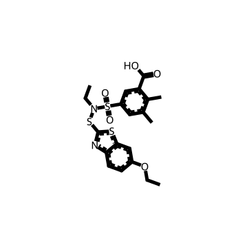 CCOc1ccc2nc(SN(CC)S(=O)(=O)c3cc(C)c(C)c(C(=O)O)c3)sc2c1